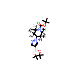 [2H]C1([2H])C(n2cc(B3OC(C)(C)C(C)(C)O3)cn2)C([2H])([2H])C([2H])([2H])N(C(=O)OC(C)(C)C)C1([2H])[2H]